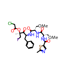 COC[C@H](NC(=O)c1cnc(C)s1)C(=O)N[C@@H](COC)C(=O)NC(Cc1ccccc1)C(=O)[C@@](C)(CI)OC(=O)CCl